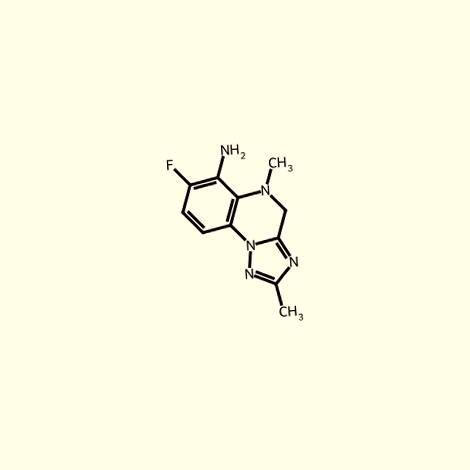 Cc1nc2n(n1)-c1ccc(F)c(N)c1N(C)C2